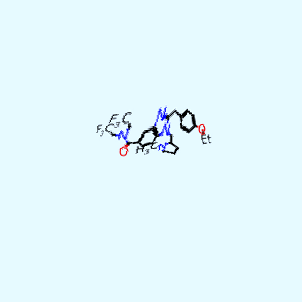 CCOc1ccc(Cc2nc3cc(C(=O)N(CC(F)(F)F)CC(F)(F)F)ccc3n2CC2CCCN2C)cc1